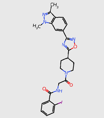 Cc1nn(C)c2cc(-c3noc(C4CCN(C(=O)CNC(=O)c5ccccc5I)CC4)n3)ccc12